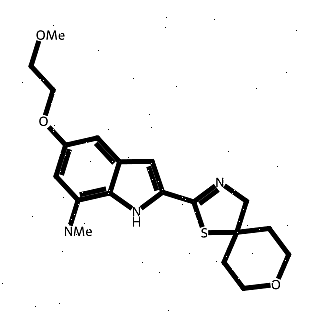 CNc1cc(OCCOC)cc2cc(C3=NCC4(CCOCC4)S3)[nH]c12